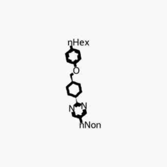 CCCCCCCCCc1cnc([C@H]2CC[C@H](COc3ccc(CCCCCC)cc3)CC2)nc1